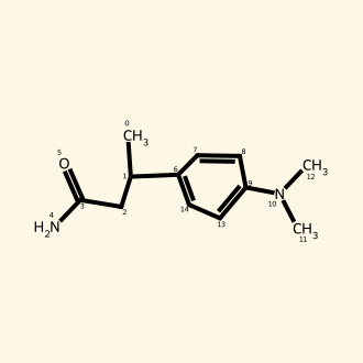 CC(CC(N)=O)c1ccc(N(C)C)cc1